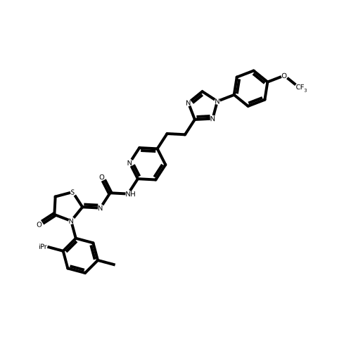 Cc1ccc(C(C)C)c(N2C(=O)CS/C2=N\C(=O)Nc2ccc(CCc3ncn(-c4ccc(OC(F)(F)F)cc4)n3)cn2)c1